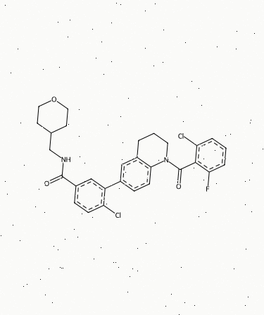 O=C(NCC1CCOCC1)c1ccc(Cl)c(-c2ccc3c(c2)CCCN3C(=O)c2c(F)cccc2Cl)c1